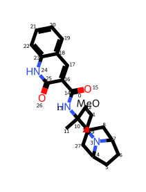 COCCN1C2CCC1CC(C(C)(C)NC(=O)c1cc3ccccc3[nH]c1=O)C2